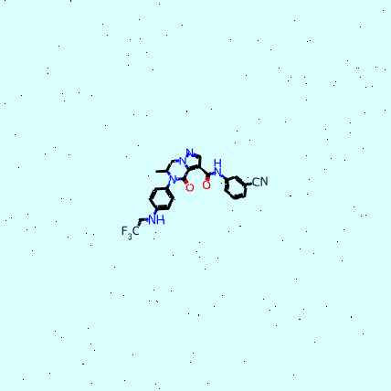 CC1Cn2ncc(C(=O)Nc3cccc(C#N)c3)c2C(=O)N1c1ccc(NCC(F)(F)F)cc1